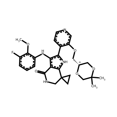 COc1c(F)cccc1Nc1c(-c2ccncc2OC[C@@H]2COC(C)(C)CO2)[nH]c2c1C(=O)NCC21CC1